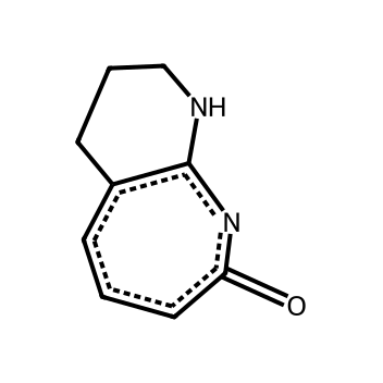 O=c1cccc2c(n1)NCCC2